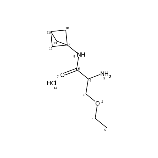 CCOCC(N)C(=O)NC12CC(C1)C2.Cl